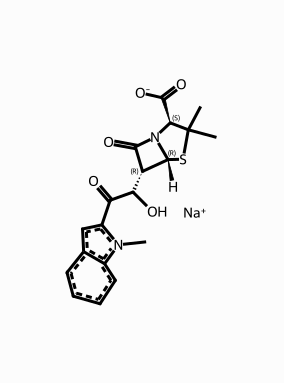 Cn1c(C(=O)C(O)[C@@H]2C(=O)N3[C@@H]2SC(C)(C)[C@@H]3C(=O)[O-])cc2ccccc21.[Na+]